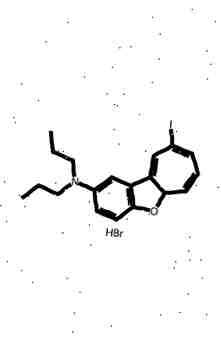 Br.CCCN(CCC)c1ccc2c(c1)C1=CC(I)=CC=CC1O2